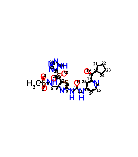 CS(=O)(=O)NCc1nc(NC(=O)Nc2ccnc(C(=O)C3CCCC3)c2)sc1S(=O)(=O)c1nnn[nH]1